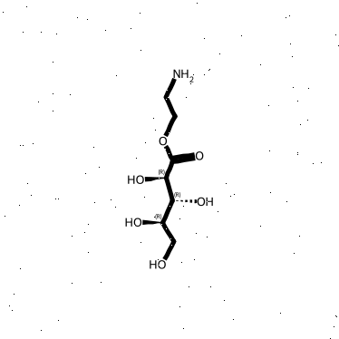 NCCOC(=O)[C@H](O)[C@H](O)[C@H](O)CO